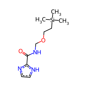 C[Si](C)(C)CCOCNC(=O)c1ncc[nH]1